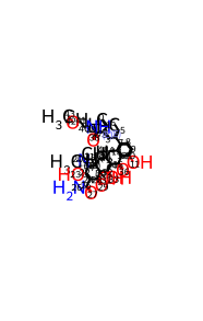 C=C/C(=C\C(=C/C)c1ccc(O)c2c1C[C@H]1C[C@H]3[C@H](N(C)C)C(O)=C(C(N)=O)C(=O)[C@@]3(O)C(O)=C1C2=O)C(=O)NCCOC